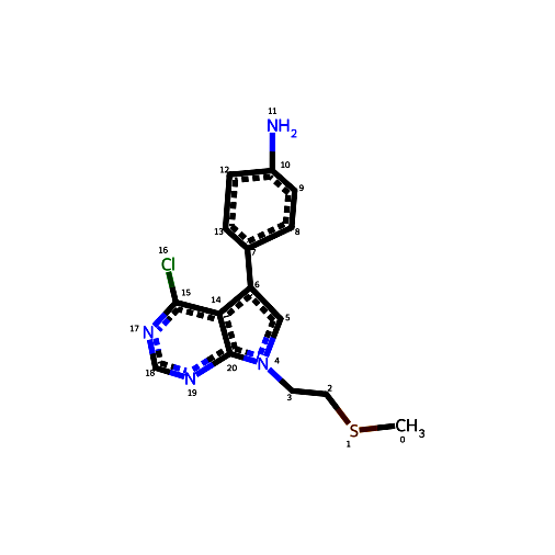 CSCCn1cc(-c2ccc(N)cc2)c2c(Cl)ncnc21